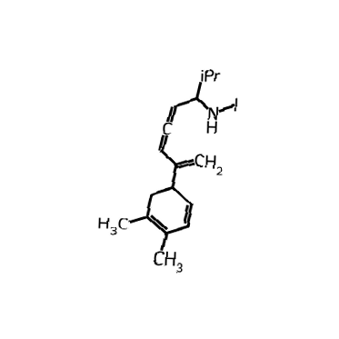 C=C(C=C=CC(NI)C(C)C)C1C=CC(C)=C(C)C1